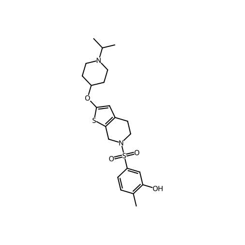 Cc1ccc(S(=O)(=O)N2CCc3cc(OC4CCN(C(C)C)CC4)sc3C2)cc1O